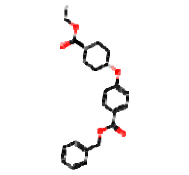 CCOC(=O)[C@H]1CC[C@H](Oc2ccc(C(=O)OCc3ccccc3)cc2)CC1